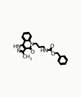 Cc1n[nH]c2c1c(=O)n(CCCNC(=O)OCc1ccccc1)c1ccccc21